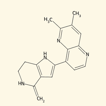 C=C1NCCc2[nH]c(-c3ccnc4cc(C)c(C)nc34)cc21